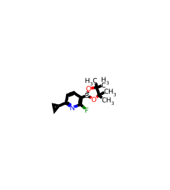 CC1(C)OB(c2ccc(C3CC3)nc2F)OC1(C)C